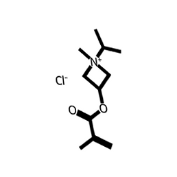 C=C(C)C(=O)OC1C[N+](C)(C(C)C)C1.[Cl-]